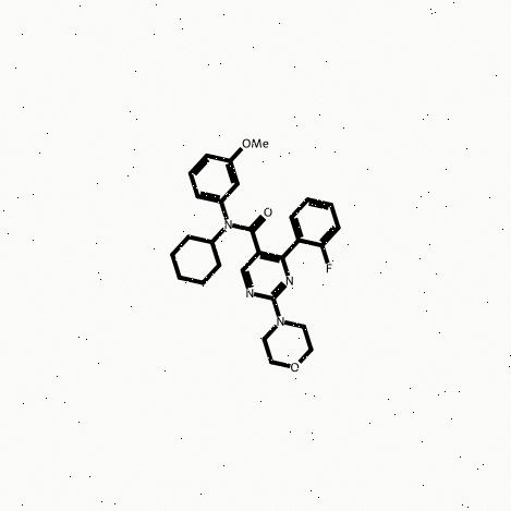 COc1cccc(N(C(=O)c2cnc(N3CCOCC3)nc2-c2ccccc2F)C2CCCCC2)c1